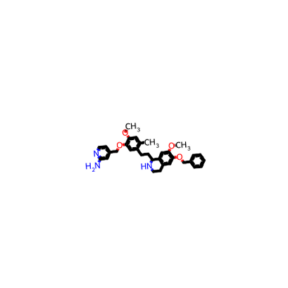 COc1cc(C)c(CCC2NCCc3cc(OCc4ccccc4)c(OC)cc32)cc1OCc1ccnc(N)c1